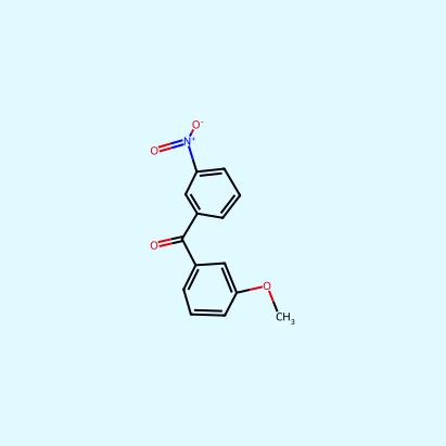 COc1cccc(C(=O)c2cccc([N+](=O)[O-])c2)c1